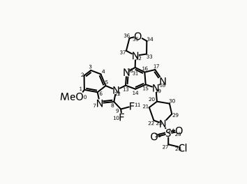 COc1cccc2c1nc(C(F)F)n2-c1cc2c(cnn2C2CCN(S(=O)(=O)CCl)CC2)c(N2CCOCC2)n1